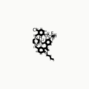 CCCCn1cc(-c2ccc(OC(F)(F)F)cc2CN)c2cc(CN3CCN(Cc4cc(OC)ccc4Cl)CC3)ccc21